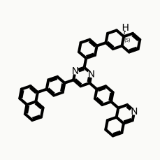 C1=CC2C=C(C3=CCCC(c4nc(-c5ccc(-c6cccc7ccccc67)cc5)cc(-c5ccc(C6C=NC=C7C=CCCC76)cc5)n4)=C3)CC[C@H]2C=C1